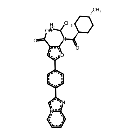 CC(C)N(c1oc(-c2ccc(-c3cn4ccccc4n3)cc2)cc1C(=O)O)C(=O)[C@H]1CC[C@H](C)CC1